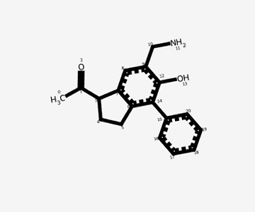 CC(=O)C1CCc2c1cc(CN)c(O)c2-c1ccccc1